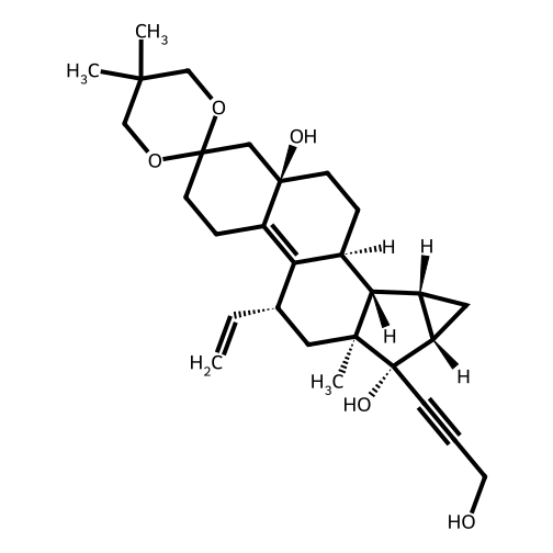 C=C[C@H]1C[C@@]2(C)[C@@H]([C@@H]3C[C@@H]3[C@@]2(O)C#CCO)[C@@H]2CC[C@@]3(O)CC4(CCC3=C21)OCC(C)(C)CO4